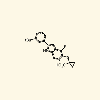 CC(C)(C)c1cccc(-c2cc3c(F)c(SC4(C(=O)O)CC4)ncc3[nH]2)c1